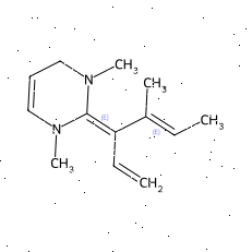 C=CC(/C(C)=C/C)=C1\N(C)C=CCN1C